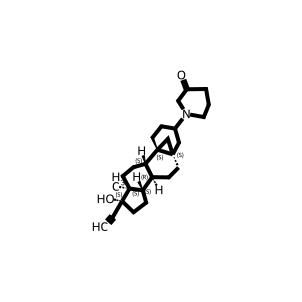 C#C[C@]1(O)CC[C@H]2[C@@H]3CC[C@]45CC(N6CCCC(=O)C6)CC[C@]4(C5)[C@H]3CC[C@@]21C